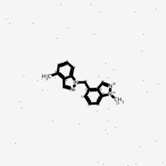 Cc1cccc2c1cnn2Cc1cccc2c1cnn2C